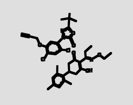 C#CCOc1cc(-n2nc(C(C)(C)C)oc2=O)c(Cl)cc1Cl.CCO/N=C(\CC)C1=C(O)CC(c2c(C)cc(C)cc2C)CC1=O